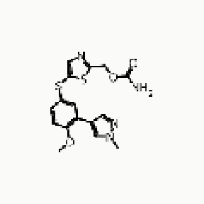 COc1ccc(Sc2cnc(COC(N)=O)s2)cc1-c1cnn(C)c1